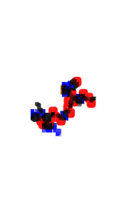 CCCCNc1cc(C(=O)OCC(=O)N(C)CC(=O)OCC(=O)O[C@H](COc2nsnc2N2CCOCC2)CN(C(=O)COC(C)=O)C(C)(C)C)cc(S(N)(=O)=O)c1Oc1ccccc1